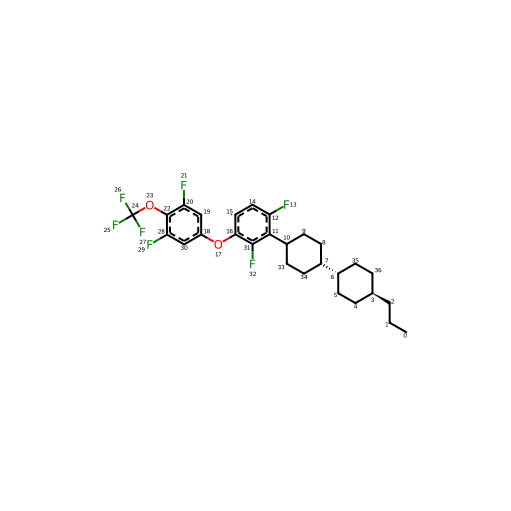 CCC[C@H]1CC[C@H](C2CCC(c3c(F)c[c]c(Oc4cc(F)c(OC(F)(F)F)c(F)c4)c3F)CC2)CC1